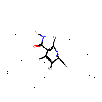 [2H]NC(=O)c1c([2H])nc([2H])c([2H])c1[2H]